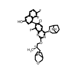 C[C@@H](COc1nc(N2CC3CCC(C2)N3)c2cc(Cl)c(-c3cc(O)cc4ccc(F)c(F)c34)c(F)c2n1)CN1C2CCC1COC2